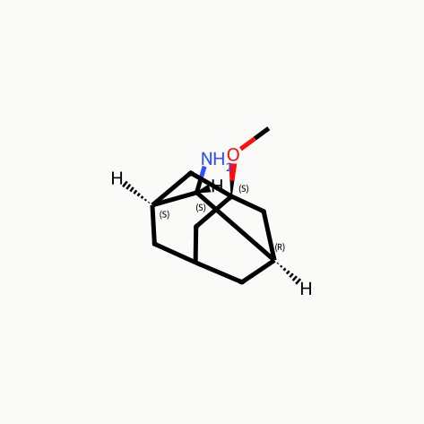 CO[C@]12CC3C[C@H](C1)[C@@H](N)[C@@H](C3)C2